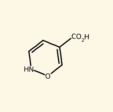 O=C(O)C1=CONC=C1